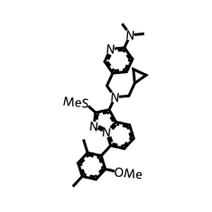 COc1cc(C)cc(C)c1-c1cccc2c(N(Cc3ccc(N(C)C)nc3)CC3CC3)c(SC)nn12